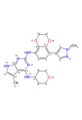 Cn1cc(-c2ccc(Nc3nc(NC4CCOCC4)c4c(C#N)c[nH]c4n3)c3c2OCCO3)cn1